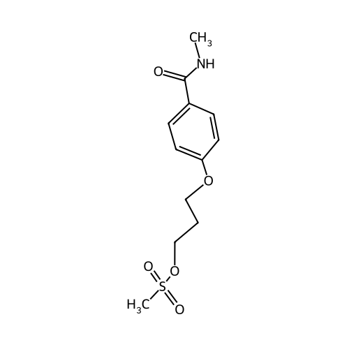 CNC(=O)c1ccc(OCCCOS(C)(=O)=O)cc1